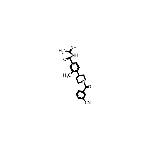 Cc1cc(C(=O)NC(=N)N)ccc1C1CCN(C(=O)c2cccc(C#N)c2)CC1